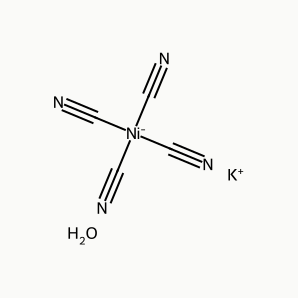 N#[C][Ni-]([C]#N)([C]#N)[C]#N.O.[K+]